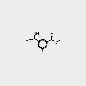 COC(=O)c1cc(C)cc(C(N)O)c1